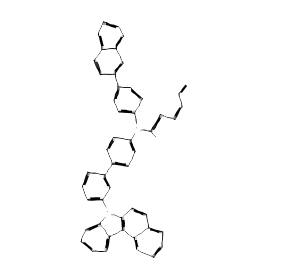 C=C/C=C\C=C(/C)N(c1ccc(-c2cccc(-n3c4ccccc4c4c5ccccc5ccc43)c2)cc1)c1ccc(-c2ccc3ccccc3c2)cc1